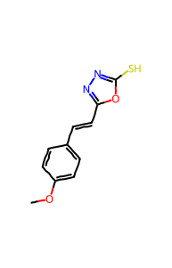 COc1ccc(/C=C/c2nnc(S)o2)cc1